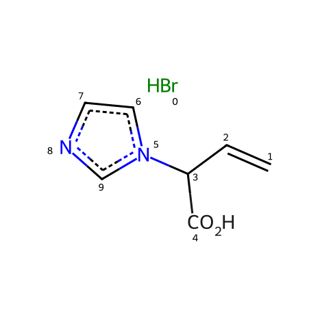 Br.C=CC(C(=O)O)n1ccnc1